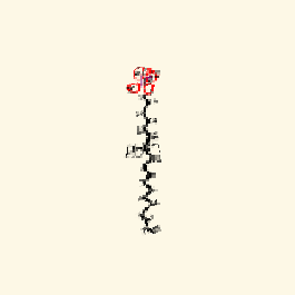 CCCCCCCCCCCCCCCCCCOP(=O)([O-])[O-].[Pb+2]